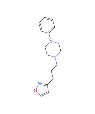 c1ccc(N2CCN(CCCc3ccon3)CC2)cc1